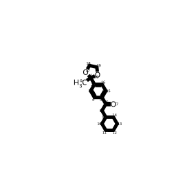 CC1(c2ccc(C(=O)CC3CCCCC3)cc2)OCCO1